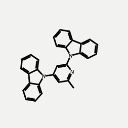 Cc1cc(-n2c3ccccc3c3ccccc32)cc(-n2c3ccccc3c3ccccc32)n1